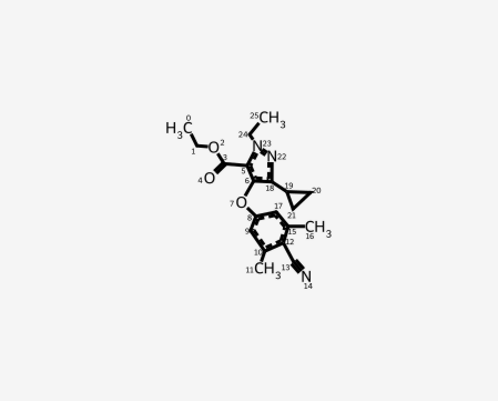 CCOC(=O)c1c(Oc2cc(C)c(C#N)c(C)c2)c(C2CC2)nn1CC